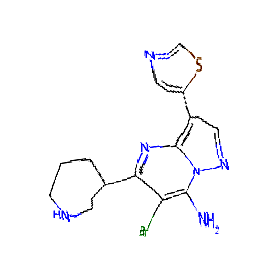 Nc1c(Br)c(C2CCCNC2)nc2c(-c3cncs3)cnn12